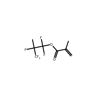 C=C(C)C(=O)OC(F)(F)C(C)(F)C(F)(F)F